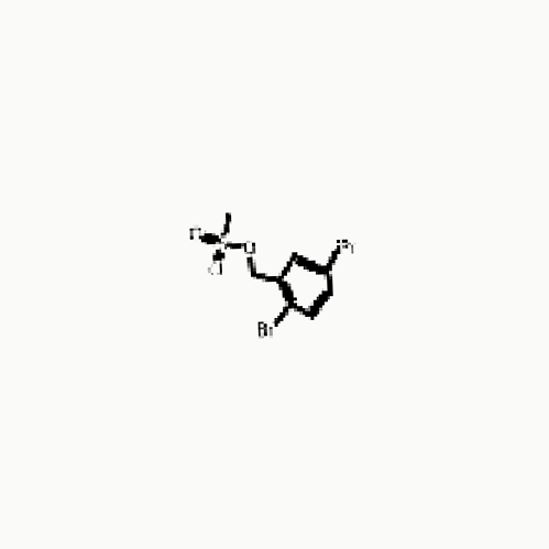 CC(C)c1ccc(Br)c(COS(C)(=O)=O)c1